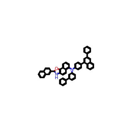 c1ccc(-c2cccc(N(c3ccc(-c4cc(-c5ccccc5)cc5ccccc45)cc3)c3cccc4c5c(ccc34)NC(c3ccc4ccccc4c3)O5)c2)cc1